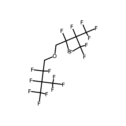 FC(F)(F)C(F)(C(F)(F)F)C(F)(F)COCC(F)(F)C(F)(C(F)(F)F)C(F)(F)F